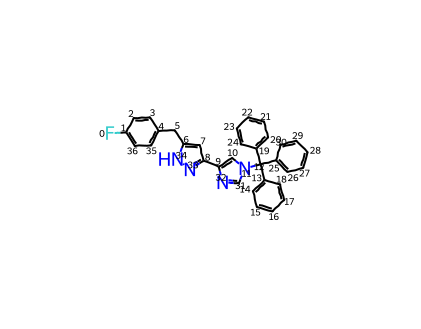 Fc1ccc(Cc2cc(-c3cn(C(c4ccccc4)(c4ccccc4)c4ccccc4)cn3)n[nH]2)cc1